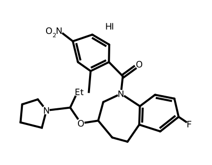 CCC(OC1CCc2cc(F)ccc2N(C(=O)c2ccc([N+](=O)[O-])cc2C)C1)N1CCCC1.I